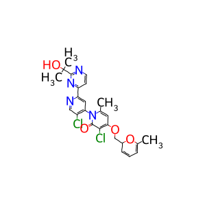 CC1=CC=CC(COc2cc(C)n(-c3cc(-c4ccnc(C(C)(C)O)n4)ncc3Cl)c(=O)c2Cl)O1